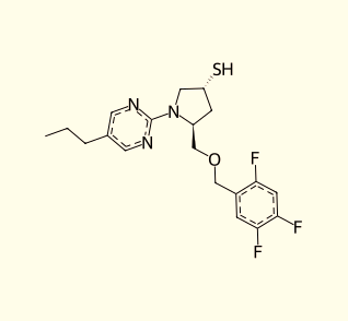 CCCc1cnc(N2C[C@H](S)C[C@H]2COCc2cc(F)c(F)cc2F)nc1